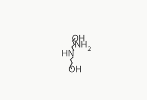 N[C@H](CO)CCNCCCCO